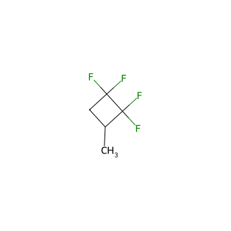 CC1CC(F)(F)C1(F)F